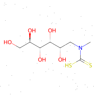 CN(C[C@H](O)[C@@H](O)[C@H](O)[C@H](O)CO)C(=S)S